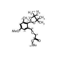 COc1cc(C)c(B2OC(C)(C)C(C)(C)O2)c(COCC(=O)OC(C)(C)C)c1